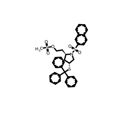 CS(=O)(=O)OCC[C@@H]1C[C@@H](SC(c2ccccc2)(c2ccccc2)c2ccccc2)CN1S(=O)(=O)c1ccc2ccccc2c1